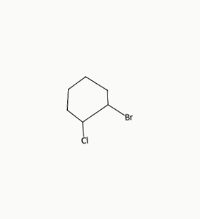 ClC1CCCCC1Br